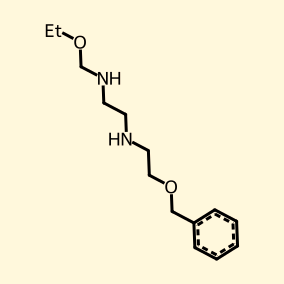 CCOCNCCNCCOCc1ccccc1